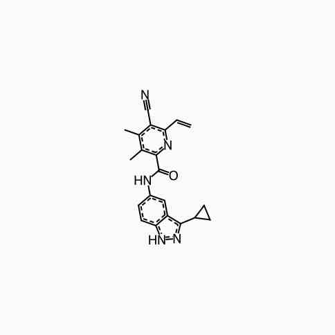 C=Cc1nc(C(=O)Nc2ccc3[nH]nc(C4CC4)c3c2)c(C)c(C)c1C#N